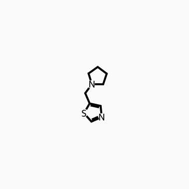 c1ncc(CN2CCCC2)s1